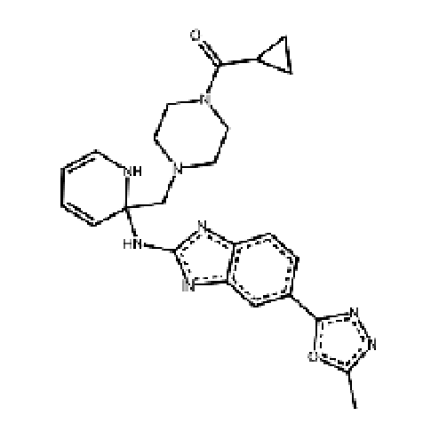 Cc1nnc(-c2ccc3nc(NC4(CN5CCN(C(=O)C6CC6)CC5)C=CC=CN4)[nH]c3c2)o1